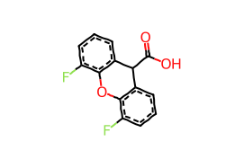 O=C(O)C1c2cccc(F)c2Oc2c(F)cccc21